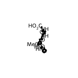 COc1cc(CC(=O)CNCCN(C)C(=O)NCCC(=O)O)ccc1NC(=O)Nc1ccccc1C